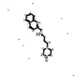 c1ccc2nc(CNCCCN3CCNCC3)ccc2c1